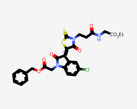 CCOC(=O)CNC(=O)CCN1C(=O)/C(=C2/C(=O)N(CC(=O)OCc3ccccc3)c3ccc(Cl)cc32)SC1=S